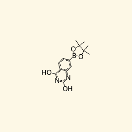 CC1(C)OB(c2ccc3c(O)nc(O)nc3c2)OC1(C)C